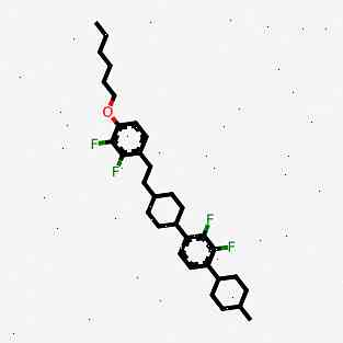 CCCCCCOc1ccc(CCC2CCC(c3ccc(C4CCC(C)CC4)c(F)c3F)CC2)c(F)c1F